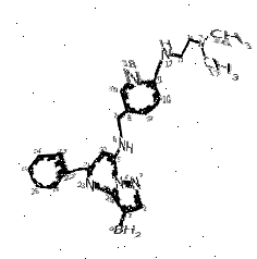 Bc1cnn2c(NCc3ccc(NCCN(C)C)nc3)cc(-c3ccccc3)nc12